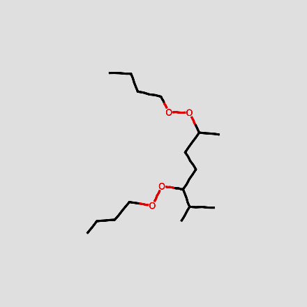 CCCCOOC(C)CCC(OOCCCC)C(C)C